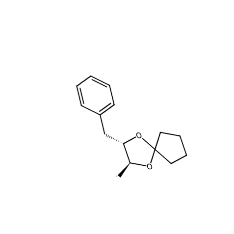 [CH2][C@@H]1OC2(CCCC2)O[C@H]1Cc1ccccc1